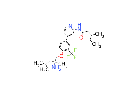 CCC(C)CC(=O)Nc1cc(-c2ccc(OC[C@@](C)(N)CC(C)C)c(C(F)(F)F)c2)ccn1